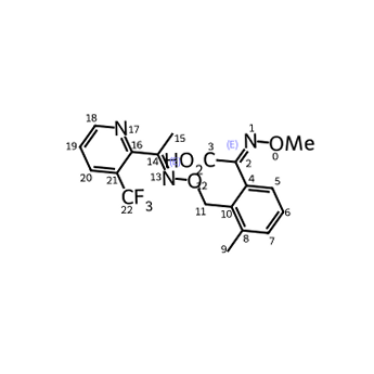 CO/N=C(/C(=O)O)c1cccc(C)c1CO/N=C(\C)c1ncccc1C(F)(F)F